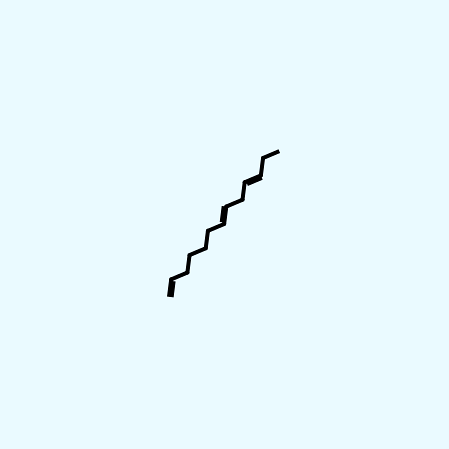 C=CCCCCC=CCC=CCC